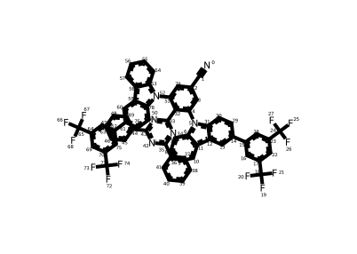 N#Cc1cc(-n2c3ccccc3c3cc(-c4cc(C(F)(F)F)cc(C(F)(F)F)c4)ccc32)c(-c2nc(-c3ccccc3)nc(-c3ccccc3)n2)c(-n2c3ccccc3c3cc(-c4cc(C(F)(F)F)cc(C(F)(F)F)c4)ccc32)c1